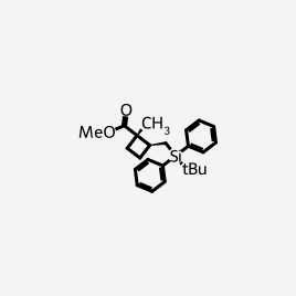 COC(=O)[C@@]1(C)CC[C@@H]1C[Si](c1ccccc1)(c1ccccc1)C(C)(C)C